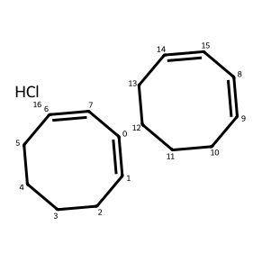 C1=CCCCCC=C1.C1=CCCCCC=C1.Cl